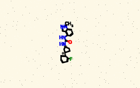 Cn1ncc2c(NC(=O)N[C@H]3CC[C@@H](c4ccccc4F)C3)cccc21